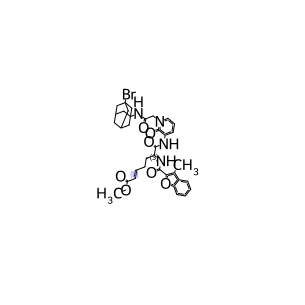 COC(=O)/C=C/CC[C@H](NC(=O)c1oc2ccccc2c1C)C(=O)Nc1cccn(CC(=O)NC23CC4CC(CC(Br)(C4)C2)C3)c1=O